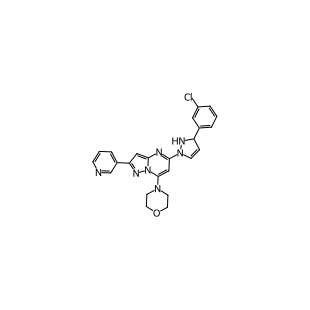 Clc1cccc(C2C=CN(c3cc(N4CCOCC4)n4nc(-c5cccnc5)cc4n3)N2)c1